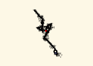 BCN(N)/C1=C(\N)CCC2C(CC1)C2CN[S+]([O-])NCCOCCOCCOC(=O)NC(C(=O)NCC(=O)Nc1ccc(COC(=O)N2c3cc(OCCCOc4cc5c(cc4OC)C(=O)N4CC(=C)CC4C(O)N5C(=O)OCc4ccc(NC(=O)[C@H](C)NC(=O)CNC(=O)OCCOCCOC)cc4)c(OC)cc3C(=O)N3CC(=C)CC3C2O)cc1)C(C)C